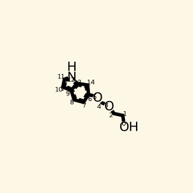 OCCOCOc1ccc2[c]c[nH]c2c1